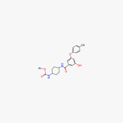 CC(C)OC(=O)NC1CCC(NC(=O)c2cc(O)cc(Oc3ccc(C#N)cc3)c2)CC1